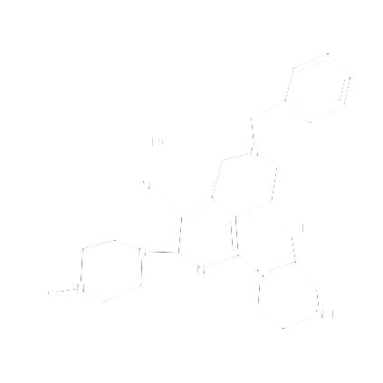 CC1CNCCN1c1nc(N2CCN(C)CC2)c(C#N)c2c1CCN(Cc1ccccc1)C2.Cl